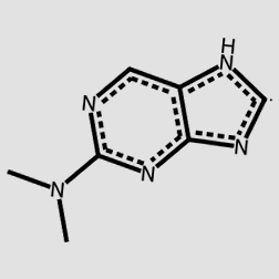 CN(C)c1ncc2[nH][c]nc2n1